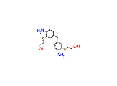 Nc1ccc(Cc2ccc(N)c(SCCO)c2)cc1SCCO